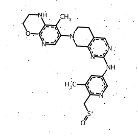 Cc1cc(Nc2ncc3c(n2)CN(c2cnc4c(c2C)NCCO4)CC3)cnc1C[S+]=O